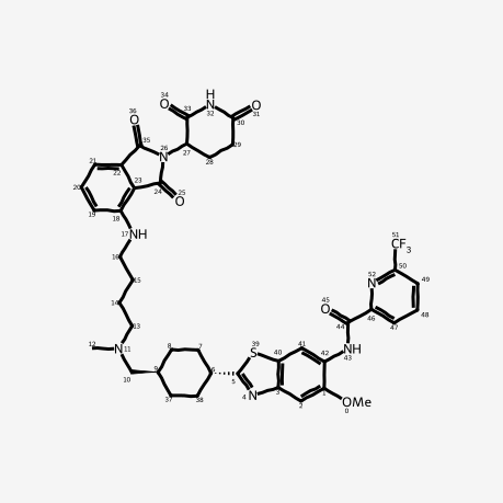 COc1cc2nc([C@H]3CC[C@H](CN(C)CCCCNc4cccc5c4C(=O)N(C4CCC(=O)NC4=O)C5=O)CC3)sc2cc1NC(=O)c1cccc(C(F)(F)F)n1